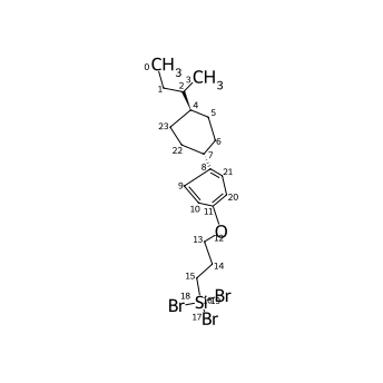 CCC(C)[C@H]1CC[C@H](c2ccc(OCCC[Si](Br)(Br)Br)cc2)CC1